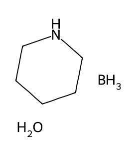 B.C1CCNCC1.O